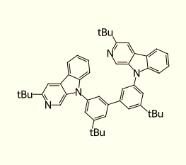 CC(C)(C)c1cc(-c2cc(-n3c4ccccc4c4cc(C(C)(C)C)ncc43)cc(C(C)(C)C)c2)cc(-n2c3ccccc3c3cc(C(C)(C)C)ncc32)c1